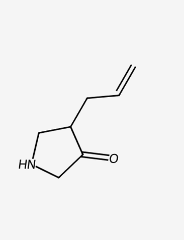 C=CCC1CNCC1=O